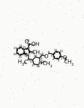 COc1ccc(COCC2CC(C(C)n3c(C)c(C(=O)O)c4ccccc43)CCN2C)cc1